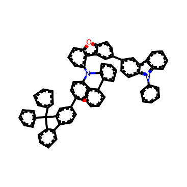 c1ccc(-c2ccccc2N(c2ccc(-c3ccc4c(c3)C(c3ccccc3)(c3ccccc3)c3ccccc3-4)cc2)c2cccc3oc4ccc(-c5ccc6c(c5)c5ccccc5n6-c5ccccc5)cc4c23)cc1